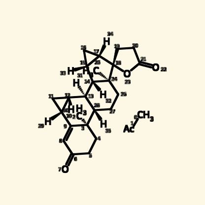 CC(C)=O.C[C@]12CCC(=O)C=C1[C@@H]1C[C@@H]1[C@H]1[C@@H]3[C@@H]4C[C@@H]4[C@@]4(CCC(=O)O4)[C@@]3(C)CC[C@@H]12